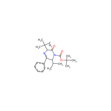 CC(C)C1C(c2ccccc2)=NC(C(C)(C)C)C(=O)N1C(=O)OC(C)(C)C